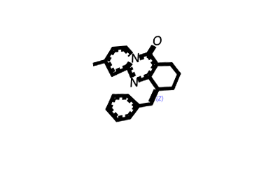 Cc1ccn2c(=O)c3c(nc2c1)/C(=C\c1ccccc1)CCC3